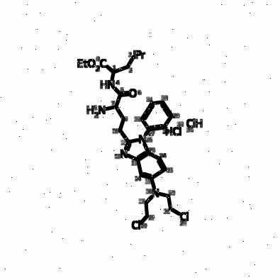 CCOC(=O)C(CC(C)C)NC(=O)C(N)CCc1nc2cc(N(CCCl)CCCl)ccc2n1-c1ccccc1.Cl.Cl